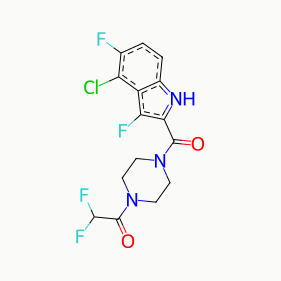 O=C(c1[nH]c2ccc(F)c(Cl)c2c1F)N1CCN(C(=O)C(F)F)CC1